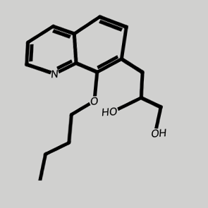 CCCCOc1c(CC(O)CO)ccc2cccnc12